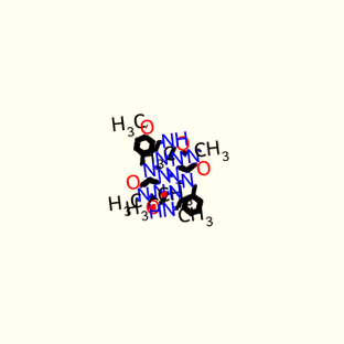 COc1ccc(CN2c3c(n(C)c(=O)n(C)c3=O)N(N3c4c(c(=O)n(C)c(=O)n4C)N(Cc4ccccc4)C3N3CC(C)NC(C)C3)C2N2CCNCC2)cc1